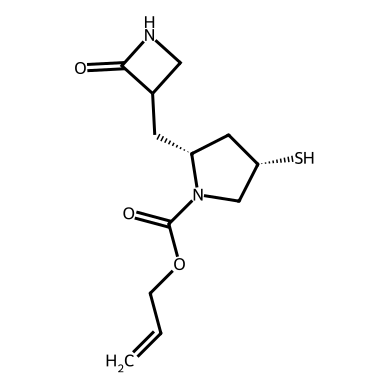 C=CCOC(=O)N1C[C@@H](S)C[C@H]1CC1CNC1=O